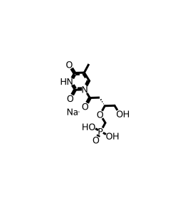 Cc1cn(C(=O)C[C@H](CO)OCP(=O)(O)O)c(=O)[nH]c1=O.[Na]